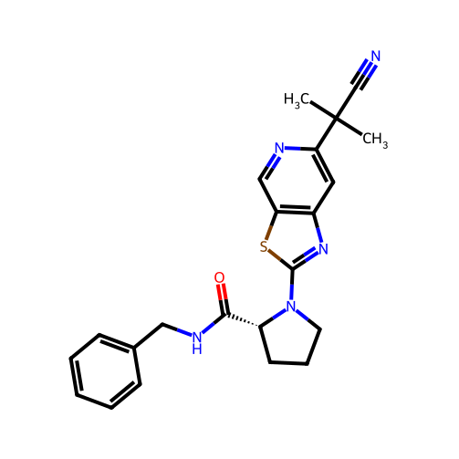 CC(C)(C#N)c1cc2nc(N3CCC[C@@H]3C(=O)NCc3ccccc3)sc2cn1